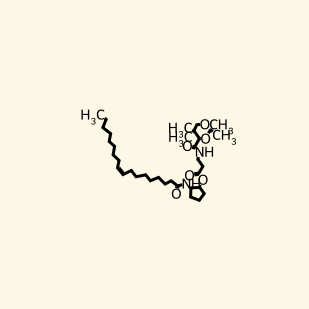 CCCCCCCC/C=C\CCCCCCCC(=O)N[C@H]1CCC[C@@H]1OC(=O)CCNC(=O)C1OC(C)(C)OCC1(C)C